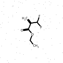 C=C(C(=O)OCC)C(F)F